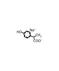 C[C@@H](C(=O)[O-])c1ccc(O)cc1.[Na+]